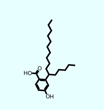 CCCCCCCCCCC(CCCCC)c1cc(O)ccc1C(=O)O